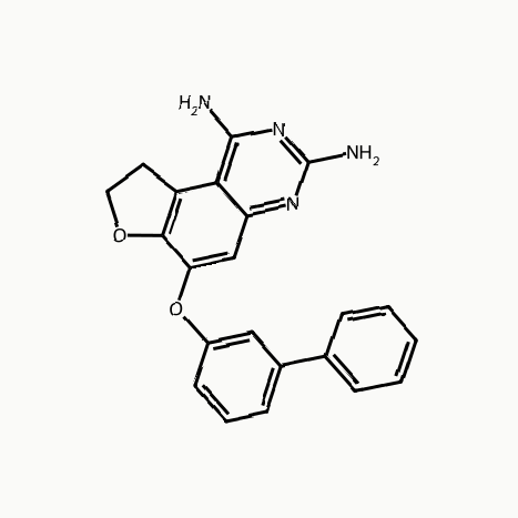 Nc1nc(N)c2c3c(c(Oc4cccc(-c5ccccc5)c4)cc2n1)OCC3